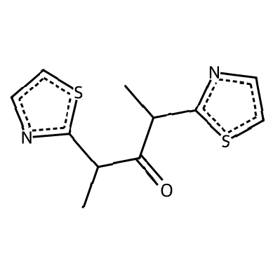 CC(C(=O)C(C)c1nccs1)c1nccs1